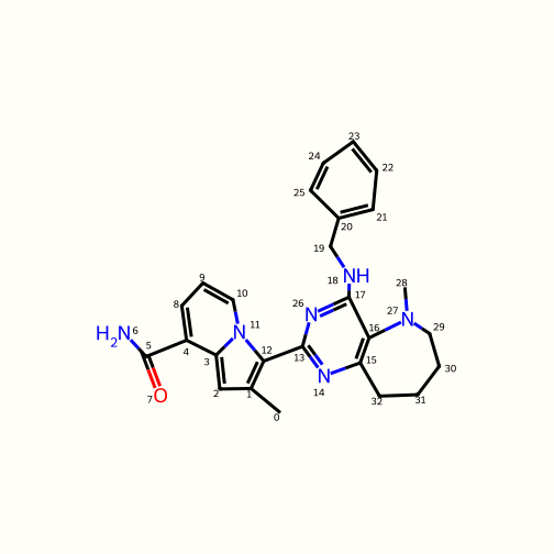 Cc1cc2c(C(N)=O)cccn2c1-c1nc2c(c(NCc3ccccc3)n1)N(C)CCCC2